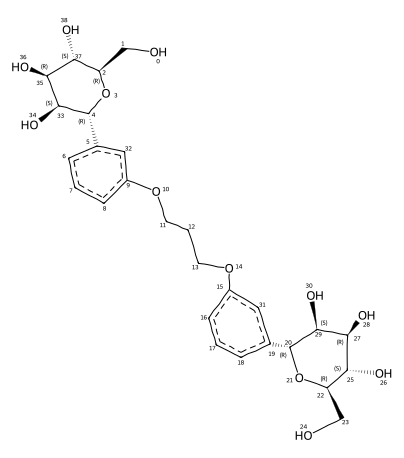 OC[C@H]1O[C@H](c2cccc(OCCCOc3cccc([C@H]4O[C@H](CO)[C@@H](O)[C@H](O)[C@@H]4O)c3)c2)[C@@H](O)[C@@H](O)[C@@H]1O